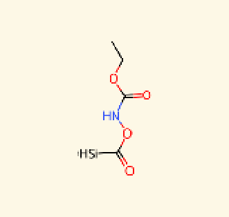 CCOC(=O)NOC(=O)[SiH]